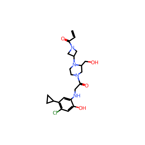 C=CC(=O)N1CC(N2CCN(C(=O)CNc3cc(C4CC4)c(Cl)cc3O)CC2CO)C1